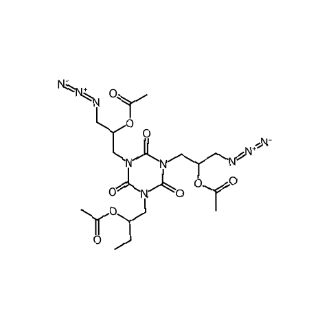 CCC(Cn1c(=O)n(CC(CN=[N+]=[N-])OC(C)=O)c(=O)n(CC(CN=[N+]=[N-])OC(C)=O)c1=O)OC(C)=O